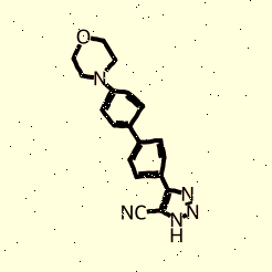 N#Cc1[nH]nnc1-c1ccc(-c2ccc(N3CCOCC3)cc2)cc1